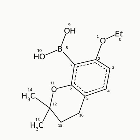 CCOc1ccc2c(c1B(O)O)OC(C)(C)CC2